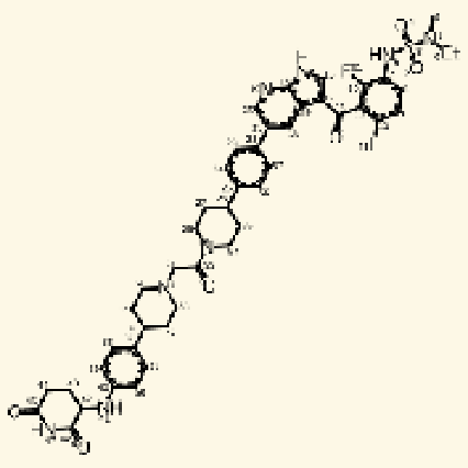 CCN(C)S(=O)(=O)Nc1ccc(F)c(C(=O)c2c[nH]c3ncc(-c4ccc(C5CCN(C(=O)CN6CCC(c7ccc(NC8CCC(=O)NC8=O)cc7)CC6)CC5)cc4)cc23)c1F